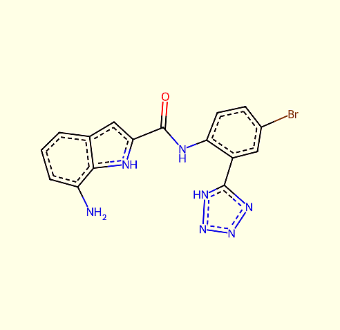 Nc1cccc2cc(C(=O)Nc3ccc(Br)cc3-c3nnn[nH]3)[nH]c12